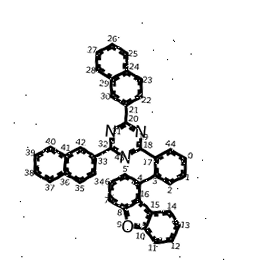 c1ccc(-c2cccc3oc4ccccc4c23)c(-c2nc(-c3ccc4ccccc4c3)nc(-c3ccc4ccccc4c3)n2)c1